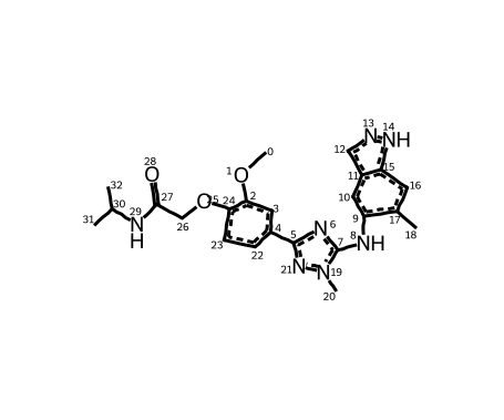 COc1cc(-c2nc(Nc3cc4cn[nH]c4cc3C)n(C)n2)ccc1OCC(=O)NC(C)C